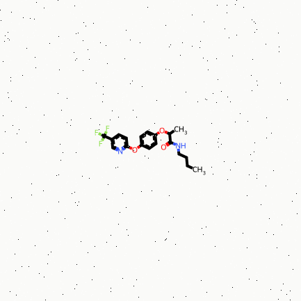 CCCCNC(=O)C(C)Oc1ccc(Oc2ccc(C(F)(F)F)cn2)cc1